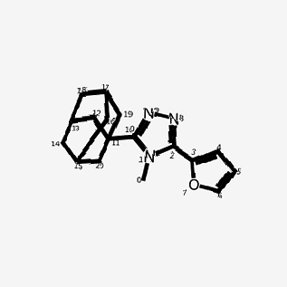 Cn1c(-c2ccco2)nnc1C12CC3CC(CC(C3)C1)C2